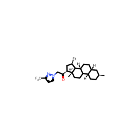 CC[C@@H]1C[C@H](C(=O)Cn2ccc(C(F)(F)F)n2)[C@@]2(C)CCC3[C@H]4CC[C@H](C)C[C@H]4CC[C@H]3[C@H]12